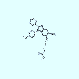 COC(=O)CCCCOc1cc2c(cc1N)nc(-c1ccccc1)n2-c1ccc(OC)cc1